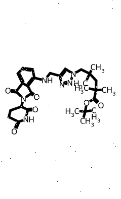 CC(C)(Cn1cc(CNc2cccc3c2C(=O)N(C2CCC(=O)NC2=O)C3=O)nn1)CC(C)(C)C(=O)OC(C)(C)C